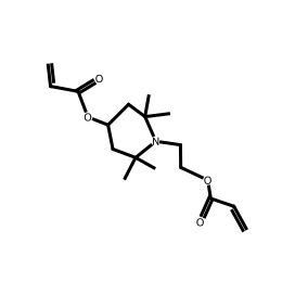 C=CC(=O)OCCN1C(C)(C)CC(OC(=O)C=C)CC1(C)C